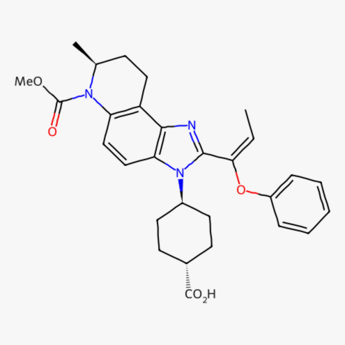 C/C=C(/Oc1ccccc1)c1nc2c3c(ccc2n1[C@H]1CC[C@H](C(=O)O)CC1)N(C(=O)OC)[C@@H](C)CC3